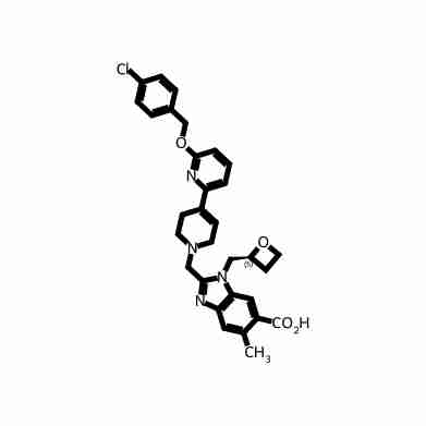 Cc1cc2nc(CN3CC=C(c4cccc(OCc5ccc(Cl)cc5)n4)CC3)n(C[C@@H]3CCO3)c2cc1C(=O)O